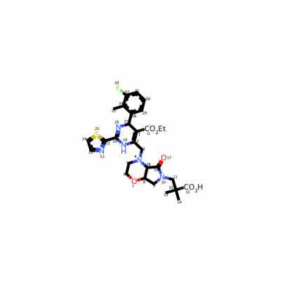 CCOC(=O)C1=C(CN2CCOC3CN(CC(C)(C)C(=O)O)C(=O)C32)NC(c2nccs2)=NC1c1cccc(F)c1C